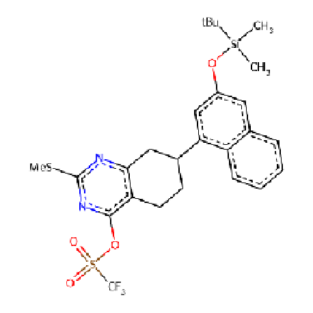 CSc1nc2c(c(OS(=O)(=O)C(F)(F)F)n1)CCC(c1cc(O[Si](C)(C)C(C)(C)C)cc3ccccc13)C2